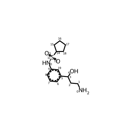 NCCC(O)c1cccc(NS(=O)(=O)C2CCCC2)c1